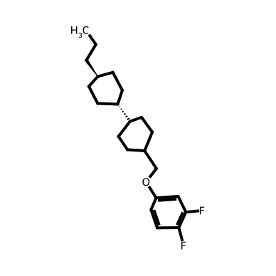 CCC[C@H]1CC[C@H](C2CCC(COc3ccc(F)c(F)c3)CC2)CC1